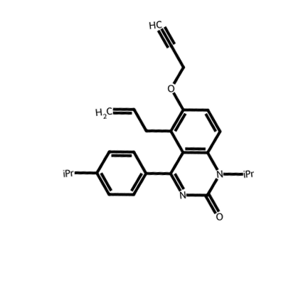 C#CCOc1ccc2c(c(-c3ccc(C(C)C)cc3)nc(=O)n2C(C)C)c1CC=C